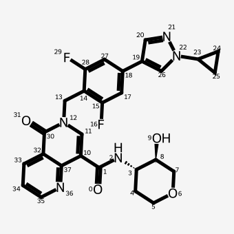 O=C(N[C@H]1CCOC[C@@H]1O)c1cn(Cc2c(F)cc(-c3cnn(C4CC4)c3)cc2F)c(=O)c2cccnc12